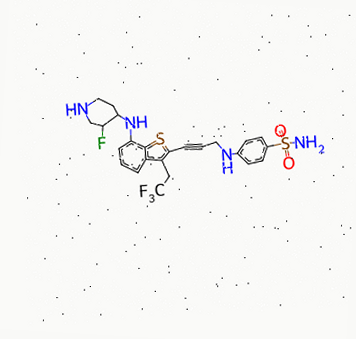 NS(=O)(=O)c1ccc(NCC#Cc2sc3c(NC4CCNCC4F)cccc3c2CC(F)(F)F)cc1